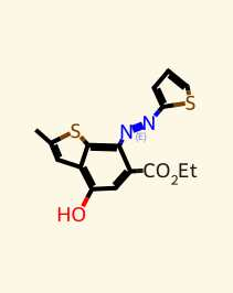 CCOC(=O)c1cc(O)c2cc(C)sc2c1/N=N/c1cccs1